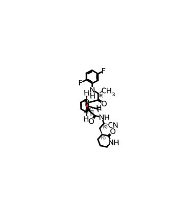 C[C@@H](Nc1cc(F)ccc1F)C(=O)N1[C@H]2CC[C@@H]([C@@H]1C(=O)N[C@H](C#N)C[C@@H]1CCCNC1=O)C(F)(F)C2